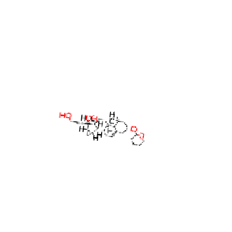 C[C@]12CC[C@H](OC3CCCCO3)CC1=CC[C@H]1[C@@H]3[C@@H]4C[C@@H]4[C@@](O)(C#CCO)[C@@]3(C)CC[C@@H]12